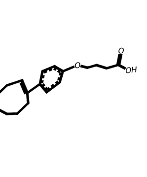 O=C(O)CCCOc1ccc(C2=CCCCCCC2)cc1